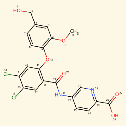 COc1cc(CO)ccc1Oc1cc(Cl)c(Cl)cc1C(=O)Nc1ccc(C(=O)O)nc1